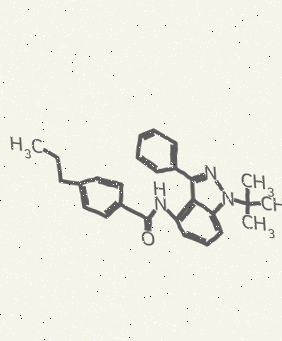 CCCc1ccc(C(=O)Nc2cccc3c2c(-c2ccccc2)nn3C(C)(C)C)cc1